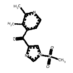 Cc1nccc(C(=O)c2cn(S(C)(=O)=O)cn2)c1C